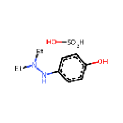 CCN(CC)Nc1ccc(O)cc1.O=S(=O)(O)O